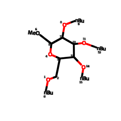 CCCCOCC1OC(OC)C(OCCCC)C(OCCCC)C1OCCCC